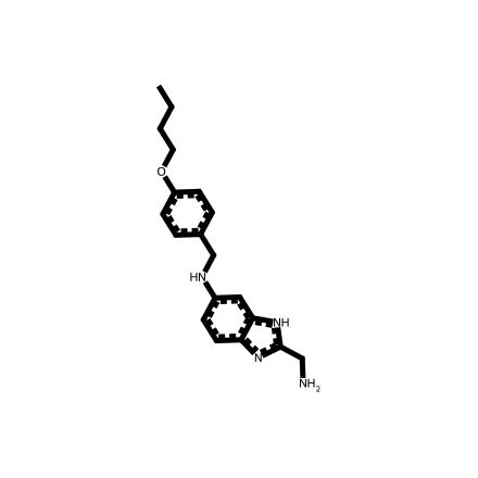 CCCCOc1ccc(CNc2ccc3nc(CN)[nH]c3c2)cc1